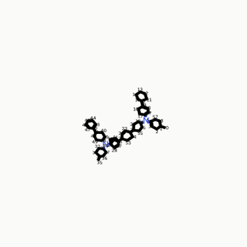 CC1CC=C(N(C2=CC=C(C3CCCCC3)CC2)C2CCC(C3C=CC(C45C=CC(N(C6CCC(C)CC6)C6CCC(c7ccccc7)CC6)(CC4)C5)CC3)CC2)CC1